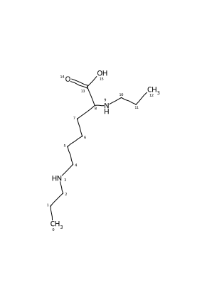 CCCNCCCCC(NCCC)C(=O)O